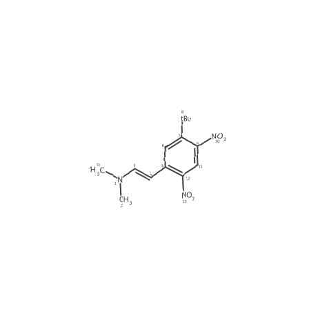 CN(C)/C=C/c1cc(C(C)(C)C)c([N+](=O)[O-])cc1[N+](=O)[O-]